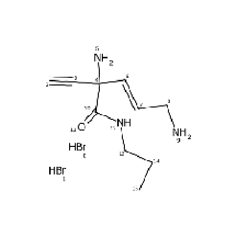 Br.Br.C#CC(N)(C=CCN)C(=O)NCCC